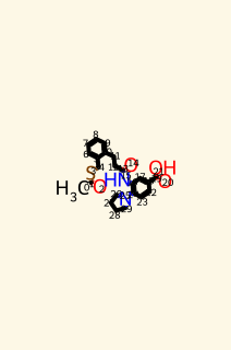 CC(=O)SCc1ccccc1CCC(=O)Nc1cc(C(=O)O)ccc1N1CCCC1